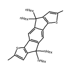 CCCCCCC1(CCCCCC)c2cc3c(cc2-c2sc(C)cc21)C(CCCCCC)(CCCCCC)c1cc(C)sc1-3